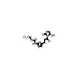 CC(C)[C@H]1COC(=O)N1C(=O)CCc1csc(NC(=O)OCC(Cl)(Cl)Cl)n1